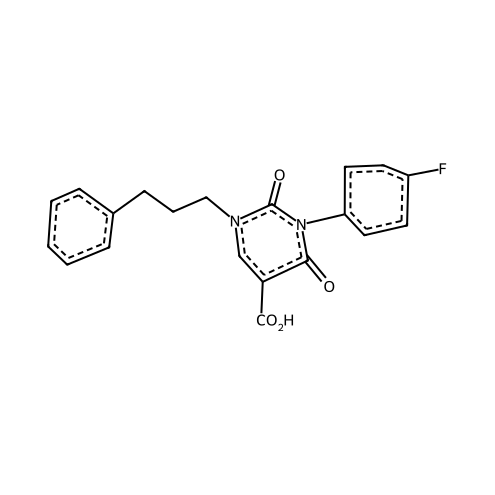 O=C(O)c1cn(CCCc2ccccc2)c(=O)n(-c2ccc(F)cc2)c1=O